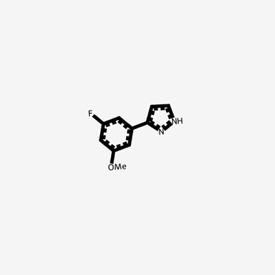 COc1cc(F)cc(-c2cc[nH]n2)c1